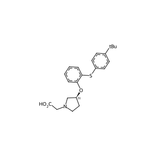 CC(C)(C)c1ccc(Sc2ccccc2O[C@H]2CCN(CC(=O)O)C2)cc1